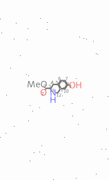 COC(=O)C1Cc2ccc(O)cc2CN1